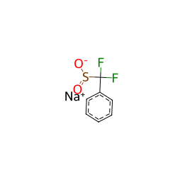 O=S([O-])C(F)(F)c1ccccc1.[Na+]